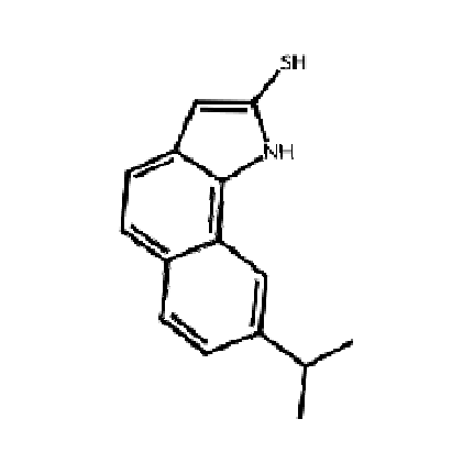 CC(C)c1ccc2ccc3cc(S)[nH]c3c2c1